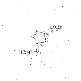 CCOC(=O)[C@H]1C=C[C@@H](OC(=O)O)C1